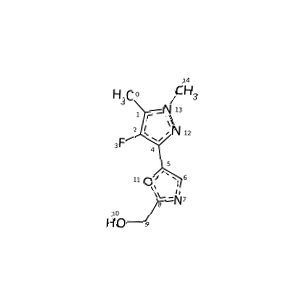 Cc1c(F)c(-c2cnc(CO)o2)nn1C